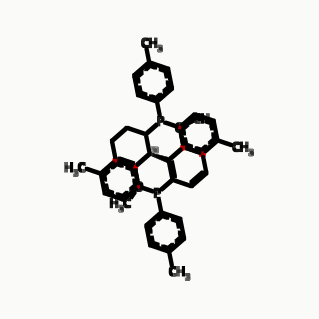 COC1=CCCC(P(c2ccc(C)cc2)c2ccc(C)cc2)[C@H]1C1=C(P(c2ccc(C)cc2)c2ccc(C)cc2)C=CCC1OC